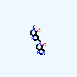 CN1CCc2ncc(CN3CCc4ncncc4C3=O)cc2C1=O